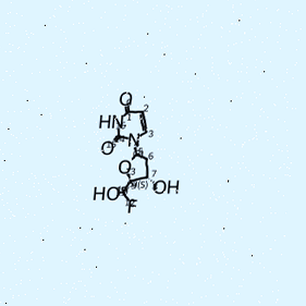 O=c1ccn([C@H]2C[C@H](O)[C@@H]([C@@H](O)F)O2)c(=O)[nH]1